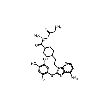 C[C@H](OC(=O)CN)C(=O)N1CCC(CCn2c(Sc3cc(O)c(O)cc3Br)nc3c(N)ncnc32)CC1